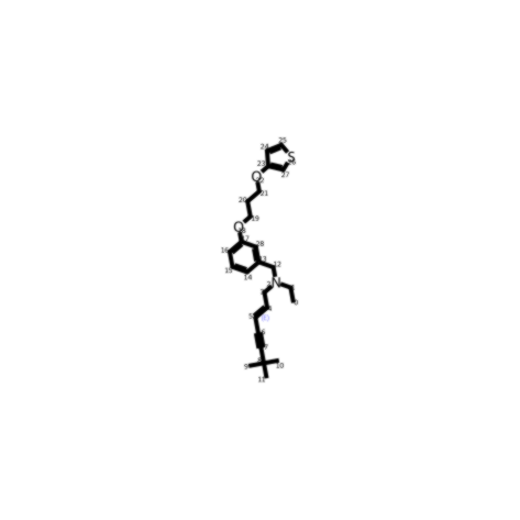 CCN(C/C=C/C#CC(C)(C)C)Cc1cccc(OCCCOc2ccsc2)c1